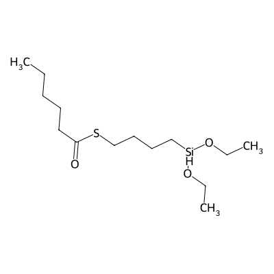 CCCCCC(=O)SCCCC[SiH](OCC)OCC